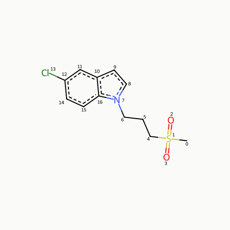 CS(=O)(=O)CCCn1ccc2cc(Cl)ccc21